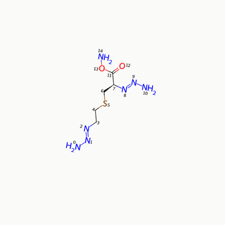 NN=NCCSC[C@H](N=NN)C(=O)ON